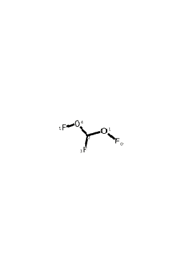 FOC(F)OF